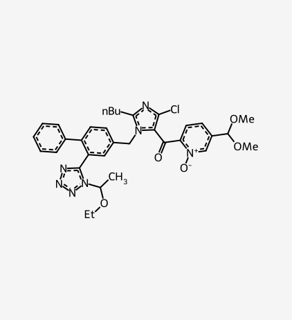 CCCCc1nc(Cl)c(C(=O)c2ccc(C(OC)OC)c[n+]2[O-])n1Cc1ccc(-c2ccccc2)c(-c2nnnn2C(C)OCC)c1